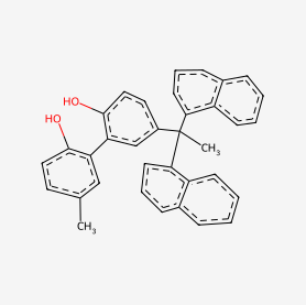 Cc1ccc(O)c(-c2cc(C(C)(c3cccc4ccccc34)c3cccc4ccccc34)ccc2O)c1